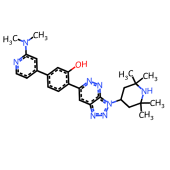 CN(C)c1cc(-c2ccc(-c3cc4nnn(C5CC(C)(C)NC(C)(C)C5)c4nn3)c(O)c2)ccn1